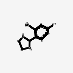 N#Cc1cc(F)ccc1C1OCCO1